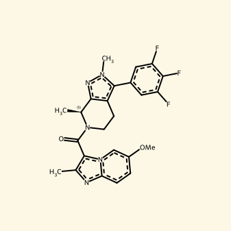 COc1ccc2nc(C)c(C(=O)N3CCc4c(nn(C)c4-c4cc(F)c(F)c(F)c4)[C@@H]3C)n2c1